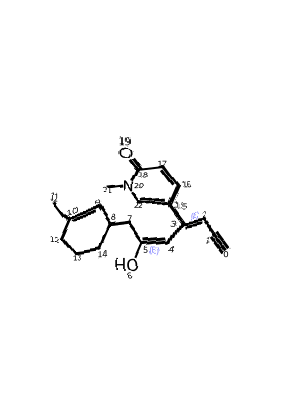 C#C/C=C(\C=C(\O)CC1C=C(C)CCC1)c1ccc(=O)n(C)c1